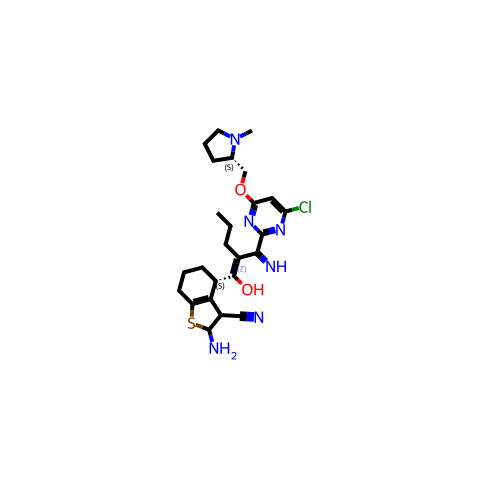 CCC/C(C(=N)c1nc(Cl)cc(OC[C@@H]2CCCN2C)n1)=C(/O)[C@H]1CCCC2=C1C(C#N)C(N)S2